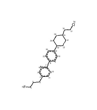 FCCCc1cnc(-c2ccc(C3CCC(CCCl)CC3)cc2)nc1